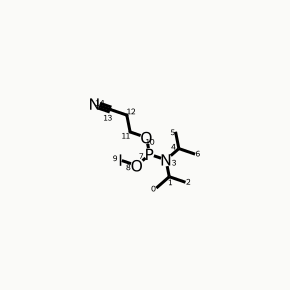 CC(C)N(C(C)C)P(OI)OCCC#N